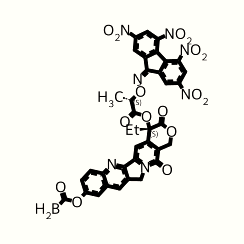 BC(=O)Oc1ccc2nc3c(cc2c1)Cn1c-3cc2c(c1=O)COC(=O)[C@@]2(CC)OC(=O)[C@H](C)ON=C1c2cc([N+](=O)[O-])cc([N+](=O)[O-])c2-c2c1cc([N+](=O)[O-])cc2[N+](=O)[O-]